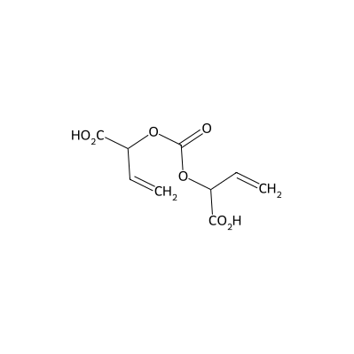 C=CC(OC(=O)OC(C=C)C(=O)O)C(=O)O